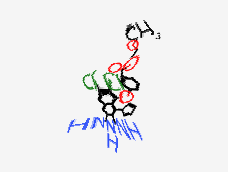 CCOCCOC(=O)c1cccc(Oc2c(Cl)c(Cl)cc3cc4c(c(C5C=CC=C5)c23)C(=N)NC4=N)c1